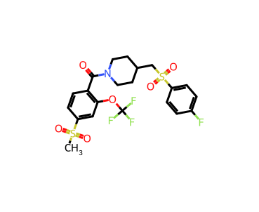 CS(=O)(=O)c1ccc(C(=O)N2CCC(CS(=O)(=O)c3ccc(F)cc3)CC2)c(OC(F)(F)F)c1